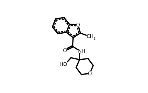 Cc1oc2ccccc2c1C(=O)NC1(CO)CCOCC1